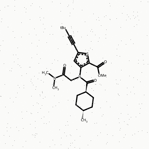 COC(=O)c1sc(C#CC(C)(C)C)cc1N(CC(=O)N(C)C)C(=O)[C@H]1CC[C@H](C)CC1